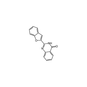 O=c1[nH]c(-c2cc3ccccc3o2)nc2ccccc12